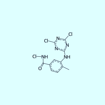 Cc1ccc(C(=O)NCl)cc1Nc1nc(Cl)nc(Cl)n1